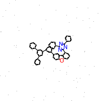 c1ccc(-c2cc(-c3ccccc3)cc(-c3cccc(-c4ccc5oc6cccc(-c7nc(-c8ccccc8)nc(-c8ccccc8)n7)c6c5c4)c3)c2)cc1